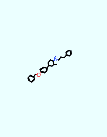 CC1CC(c2ccc(OCc3ccccc3)cc2)CCC1N(C)CCCc1ccccc1